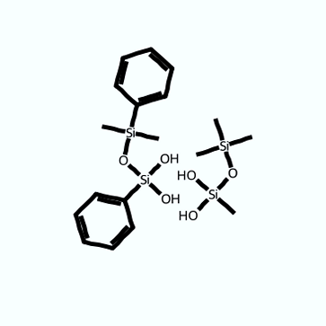 C[Si](C)(C)O[Si](C)(O)O.C[Si](C)(O[Si](O)(O)c1ccccc1)c1ccccc1